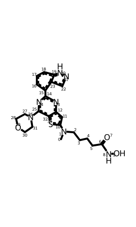 CN(CCCCC(=O)NO)c1cc2nc(-c3cccc4[nH]ncc34)nc(N3CCOCC3)c2s1